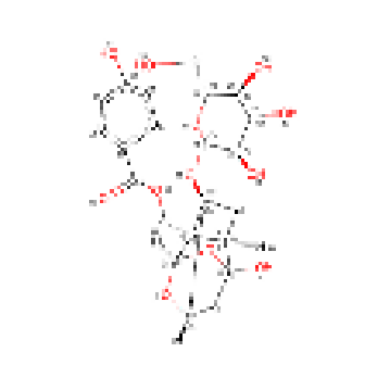 C[C@@]12C[C@@]3(O)O[C@@H](O1)[C@]1(COC(=O)c4ccc(O)cc4)[C@H]3C[C@@]12O[C@@H]1O[C@H](CO)[C@@H](O)[C@H](O)[C@H]1O